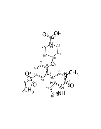 CCS(=O)(=O)c1ccc(OC2CCN(C(=O)O)CC2)c(-c2cn(C)c(=O)c3[nH]ccc23)c1